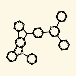 c1ccc(-c2cc(-c3ccccc3)nc(-c3ccc(C4c5ccccc5-c5cc6c7ccccc7n(-c7ccccc7)c6cc54)cc3)c2)cc1